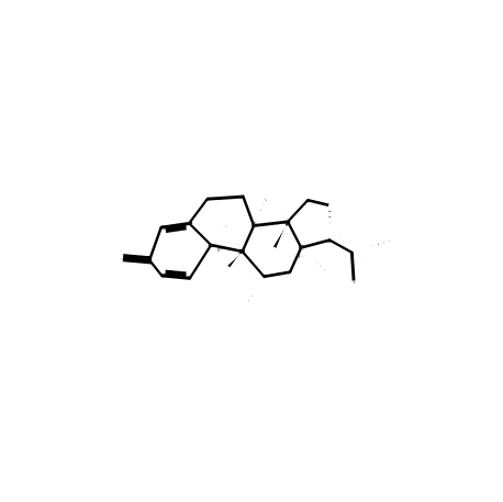 C[C@H](O)[C@H]1CC[C@H]2[C@@H]3CCC4=CC(=O)C=C[C@]4(C)[C@H]3[C@@H](O)C[C@]12C